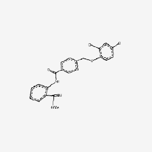 COC(=O)c1ccccc1NC(=O)c1ccc(COc2ccc(Cl)cc2Cl)cc1